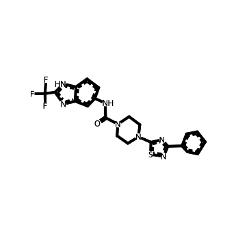 O=C(Nc1ccc2[nH]c(C(F)(F)F)nc2c1)N1CCN(c2nc(-c3ccccc3)ns2)CC1